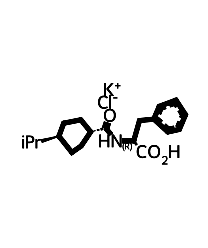 CC(C)[C@H]1CC[C@H](C(=O)N[C@H](Cc2ccccc2)C(=O)O)CC1.[Cl-].[K+]